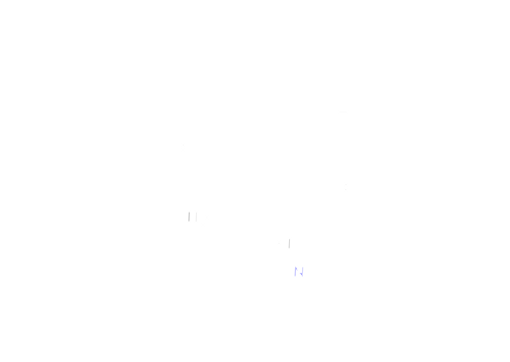 Cc1cc(C)c(C)c(C)c1C.N